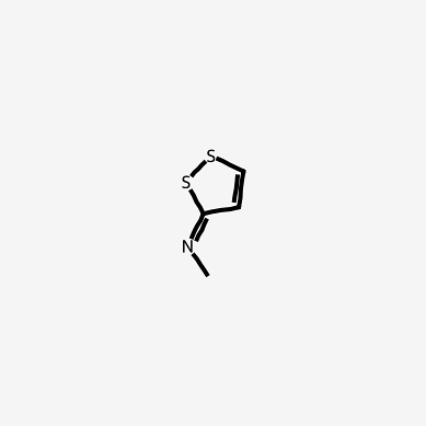 C/N=c1\ccss1